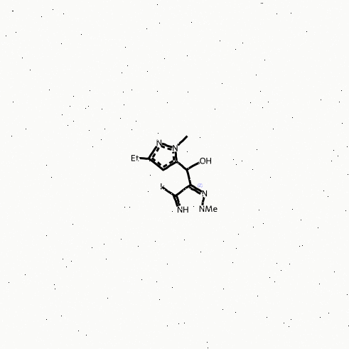 CCc1cc(C(O)/C(=N/NC)C(=N)I)n(C)n1